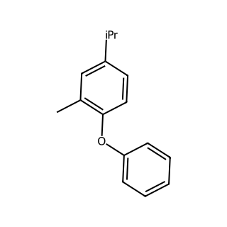 Cc1cc(C(C)C)ccc1Oc1ccccc1